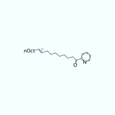 CCCCCCCC/C=C/CCCCCCCC(=O)c1ccccn1